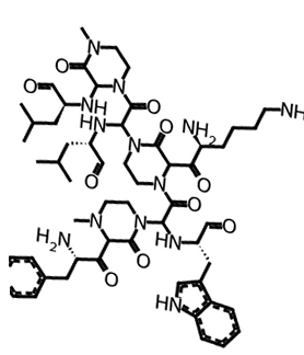 CC(C)C[C@@H](C=O)NC1C(=O)N(C)CCN1C(=O)C(N[C@H](C=O)CC(C)C)N1CCN(C(=O)C(N[C@H](C=O)Cc2c[nH]c3ccccc23)N2CCN(C)C(C(=O)[C@@H](N)Cc3ccccc3)C2=O)C(C(=O)[C@@H](N)CCCCN)C1=O